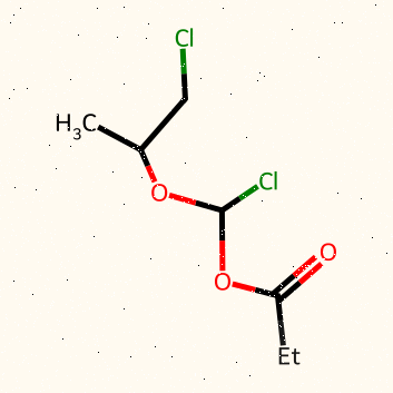 CCC(=O)OC(Cl)OC(C)CCl